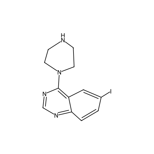 Ic1ccc2ncnc(N3CCNCC3)c2c1